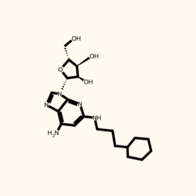 Nc1cc(NCCCC2CCCCC2)nc2c1ncn2[C@@H]1O[C@H](CO)[C@@H](O)[C@H]1O